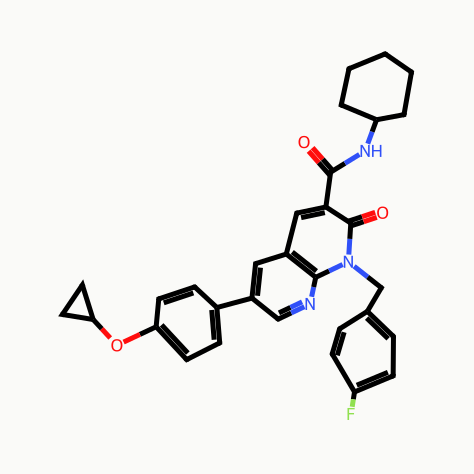 O=C(NC1CCCCC1)c1cc2cc(-c3ccc(OC4CC4)cc3)cnc2n(Cc2ccc(F)cc2)c1=O